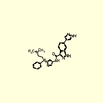 CN(C)CC[C@H](c1ccccc1)n1cc(NC(=O)c2n[nH]c3cc(-c4cn[nH]c4)ccc23)cn1